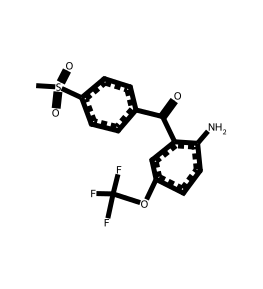 CS(=O)(=O)c1ccc(C(=O)c2cc(OC(F)(F)F)ccc2N)cc1